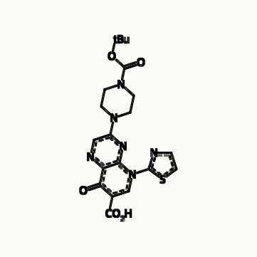 CC(C)(C)OC(=O)N1CCN(c2cnc3c(=O)c(C(=O)O)cn(-c4nccs4)c3n2)CC1